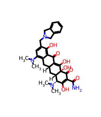 CN(C)c1cc(CN2Cc3ccccc3C2)c(O)c2c1C[C@H]1C[C@H]3[C@@H](N(C)C)C(O)=C(C(N)=O)C(=O)[C@@]3(O)C(O)=C1C2=O